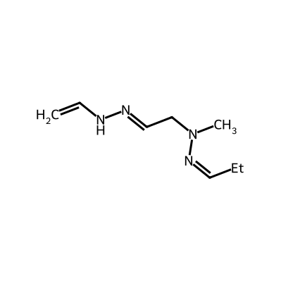 C=CN/N=C/CN(C)/N=C\CC